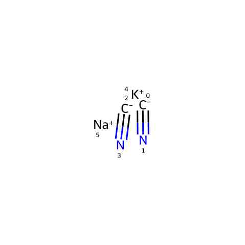 [C-]#N.[C-]#N.[K+].[Na+]